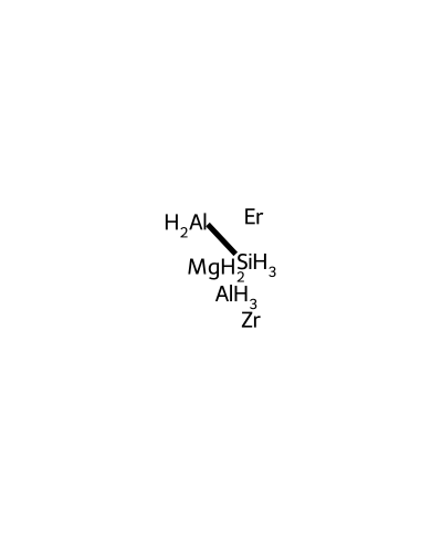 [AlH2][SiH3].[AlH3].[Er].[MgH2].[Zr]